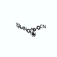 CC1CCN(C[C@H]2CCN(c3ccc4c(c3)Cn3cc(-c5ccc(C#N)cc5)cc3-c3nncn3-4)C2)CC1